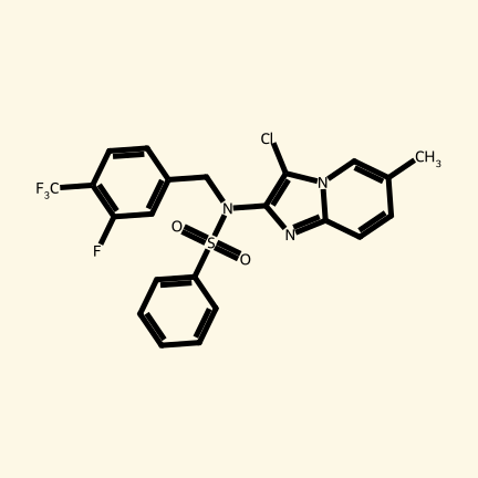 Cc1ccc2nc(N(Cc3ccc(C(F)(F)F)c(F)c3)S(=O)(=O)c3ccccc3)c(Cl)n2c1